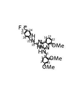 COc1ccc(CNc2nc3c(OC)cccc3c3nc(CNCc4ccc(C(F)(F)F)cc4)nn23)c(OC)c1